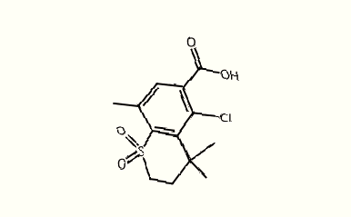 Cc1cc(C(=O)O)c(Cl)c2c1S(=O)(=O)CCC2(C)C